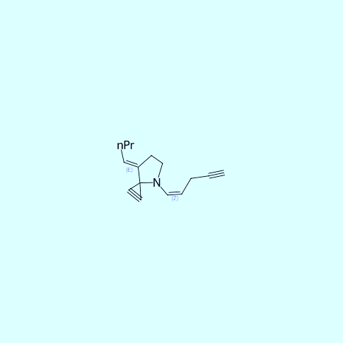 C#CC/C=C\N1CC/C(=C\CCC)C12C#C2